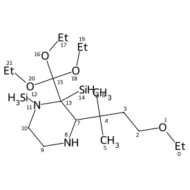 CCOCCC(C)(C)C1NCCN([SiH3])C1([SiH3])C(OCC)(OCC)OCC